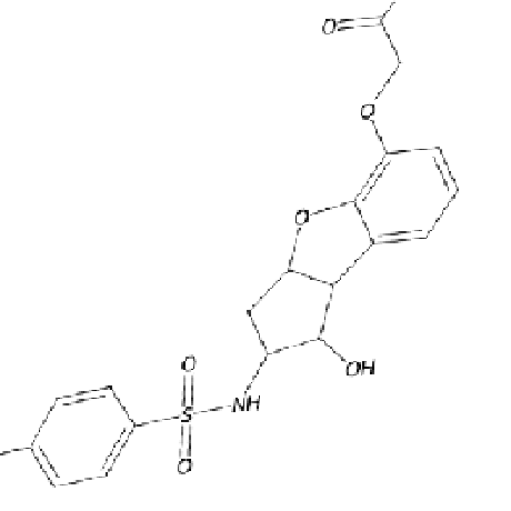 O=C(O)COc1cccc2c1OC1CC(NS(=O)(=O)c3ccc(Cl)cc3)C(O)C21